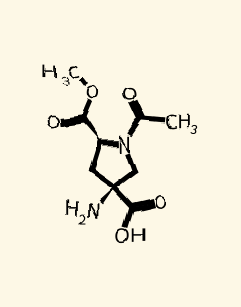 COC(=O)[C@@H]1C[C@@](N)(C(=O)O)CN1C(C)=O